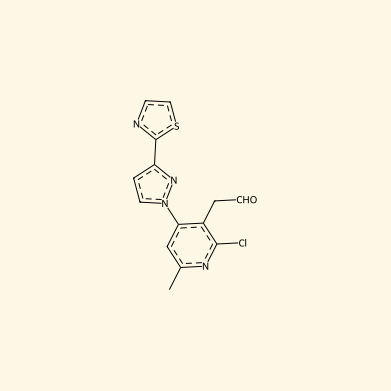 Cc1cc(-n2ccc(-c3nccs3)n2)c(CC=O)c(Cl)n1